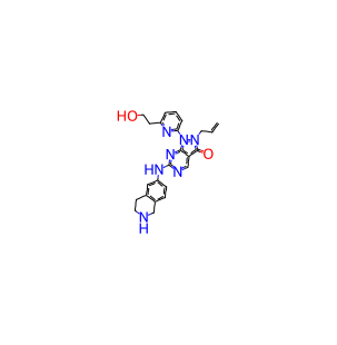 C=CCn1c(=O)c2cnc(Nc3ccc4c(c3)CCNC4)nc2n1-c1cccc(CCO)n1